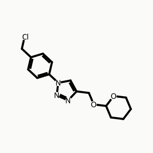 ClCc1ccc(-n2cc(COC3CCCCO3)nn2)cc1